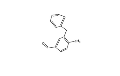 Cc1ccc(C=O)cc1Cc1ccccc1